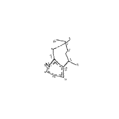 CC1CC(C)(C)Cc2ncccc21